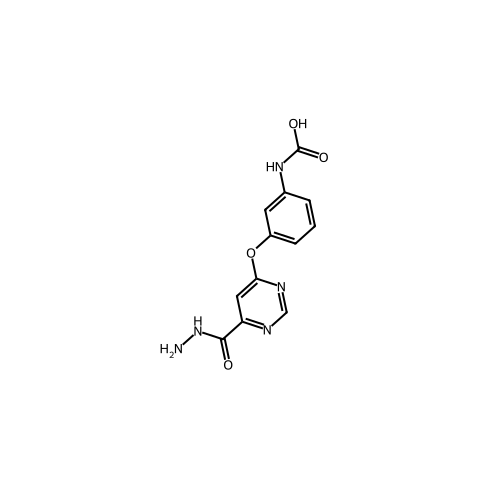 NNC(=O)c1cc(Oc2cccc(NC(=O)O)c2)ncn1